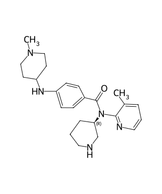 Cc1cccnc1N(C(=O)c1ccc(NC2CCN(C)CC2)cc1)[C@@H]1CCCNC1